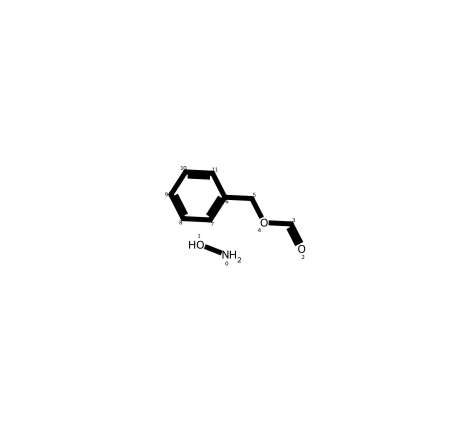 NO.O=COCc1ccccc1